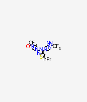 CCCc1cc2c(N3CCn4c(nnc4C(F)(F)F)C3)nc(N3CCN(C(=O)C(F)(F)F)CC3)nc2s1